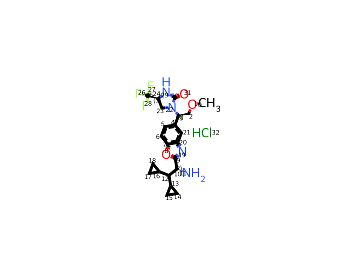 COC[C@@H](c1ccc2oc([C@H](N)C(C3CC3)C3CC3)nc2c1)N1C[C@@H](C(F)(F)F)NC1=O.Cl